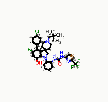 CC(C)(C)CN1CCC2(CC1)CN(c1ccccc1NC(=O)Nc1csc(C(F)(F)F)n1)c1c(O)cc(F)c(-c3ccc(Cl)cc3)c12